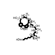 CCCCCCCCCCCCCCCC(O)N(C)[C@H](CO)CC(=O)N[C@H](C)C(O)NCC(=O)N(C)[C@@H]1C(=O)N[C@@H](C)C(=O)N[C@H](C(=O)O)Cc2ccc(O)c(c2)-c2cc1ccc2O